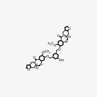 COc1cc2c(cc1OCc1cc(O)cc(COc3cc4c(cc3OC)C(=O)N3Cc5ccoc5C[C@H]3C=N4)c1)N=C[C@@H]1Cc3occc3CN1C2=O